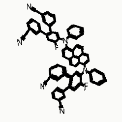 N#Cc1cccc(-c2cc(F)c(N(c3ccccc3)c3ccc4ccc5c(N(c6ccccc6)c6cc(-c7cccc(C#N)c7)c(-c7cccc(C#N)c7)cc6F)ccc6ccc3c4c65)cc2-c2cccc(C#N)c2)c1